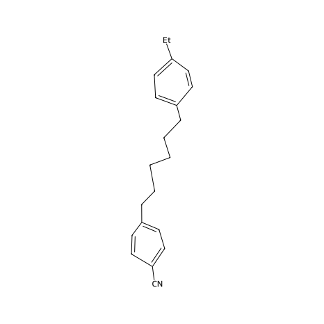 CCc1ccc(CCCCCCc2ccc(C#N)cc2)cc1